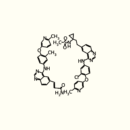 Cc1ccc(Oc2ccc(Nc3ncnc4ccc(C=CC(N)=O)cc34)cc2C)cn1.Cc1ccc(Oc2ccc(Nc3ncnc4ccc(CCC5(NS(C)(=O)=O)CC5)cc34)cc2Cl)cn1